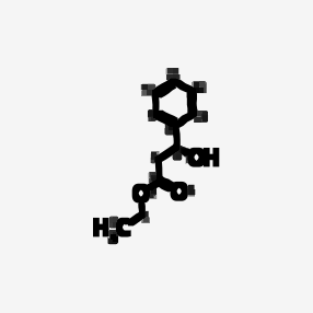 CCOC(=O)C[C@H](O)c1ccccc1